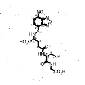 O=C(O)CNC(=O)[C@H](CS)NC(=O)CC[C@H](NSc1ccc([N+](=O)[O-])c2nonc12)C(=O)O